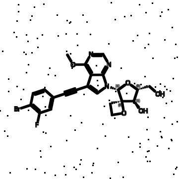 COc1ncnc2c1c(C#Cc1ccc(Br)c(F)c1)cn2[C@@H]1O[C@H](CO)[C@@H](O)[C@]12CCO2